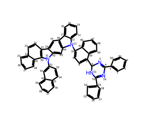 c1ccc(C2=NC(c3ccc(-n4c5ccccc5c5cc6c7ccc8ccccc8c7n(-c7ccc8ccccc8c7)c6cc54)c4ccccc34)NC(c3ccccc3)=N2)cc1